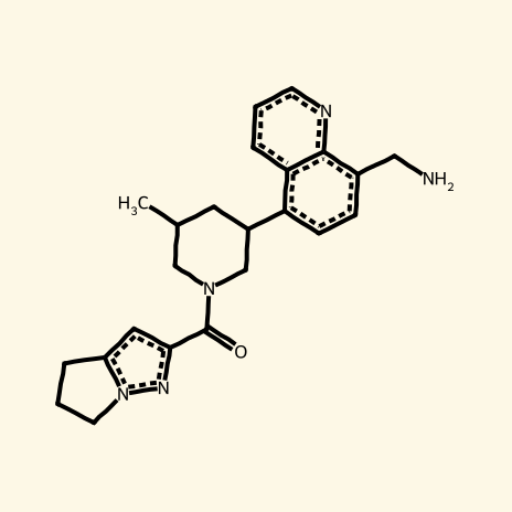 CC1CC(c2ccc(CN)c3ncccc23)CN(C(=O)c2cc3n(n2)CCC3)C1